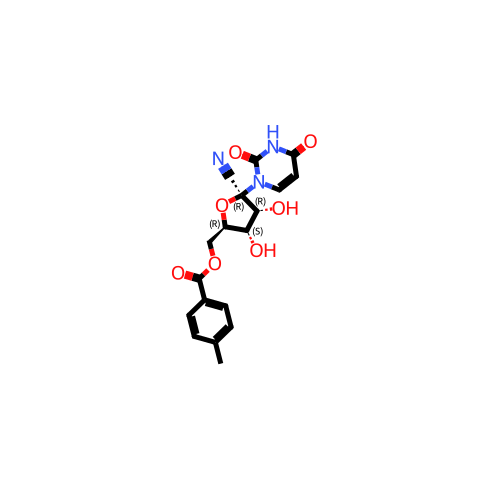 Cc1ccc(C(=O)OC[C@H]2O[C@@](C#N)(n3ccc(=O)[nH]c3=O)[C@H](O)[C@@H]2O)cc1